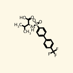 CC(C)[C@H]([AsH]S(=O)(=O)c1ccc(-c2ccc(C(F)(F)F)cc2)cc1)C(=O)O